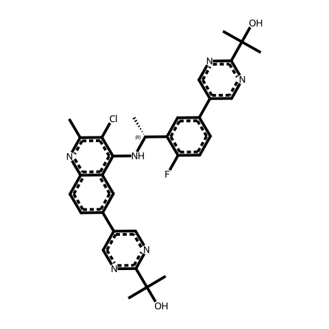 Cc1nc2ccc(-c3cnc(C(C)(C)O)nc3)cc2c(N[C@H](C)c2cc(-c3cnc(C(C)(C)O)nc3)ccc2F)c1Cl